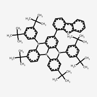 CC(C)(C)c1cc(N2c3cc(C(C)(C)C)ccc3B3c4ccc(C(C)(C)C)cc4N(c4cc(C(C)(C)C)cc(C(C)(C)C)c4)c4cc(-c5cccc6c5oc5ccccc56)cc2c43)cc(C(C)(C)C)c1